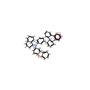 c1ccc(-c2ccccc2-c2c(-c3ccccc3)cccc2-c2cccc(N(c3ccc4oc5ccccc5c4c3)c3cccc4ccccc34)c2)cc1